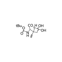 C#CC1(C(NC(=O)OC(C)(C)C)C(=O)O)CS(O)(O)C1